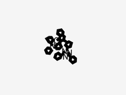 c1ccc(-c2nc(-c3ccccc3)nc(-c3cccc(-c4cc5ccccc5c5oc6c(N(c7ccccc7)c7ccccc7)cccc6c45)c3)n2)cc1